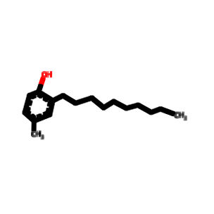 CCCCCCCCCCc1cc(C)ccc1O